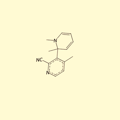 Cc1ccnc(C#N)c1C1(C)C=CC=CN1C